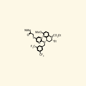 CCOC(=O)N1c2ccc(OC)nc2[C@@H](N(Cc2cc(C(F)(F)F)cc(C(F)(F)F)c2)c2ncc(SCC(=O)NC)cn2)C[C@H]1CC